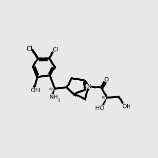 N[C@@H](c1cc(Cl)c(Cl)cc1O)C1CC2CC1CN2C(=O)[C@H](O)CO